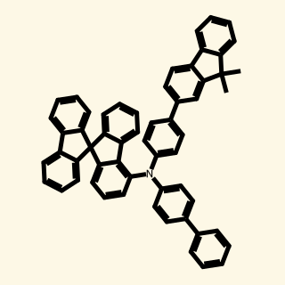 CC1(C)c2ccccc2-c2ccc(-c3ccc(N(c4ccc(-c5ccccc5)cc4)c4cccc5c4-c4ccccc4C54c5ccccc5-c5ccccc54)cc3)cc21